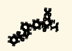 CC(C)C[C@@H](NC(=O)OC(C)(C)C)C(=O)Nc1ccc(-c2ccnc3c2ccn3S(=O)(=O)c2ccccc2)cc1